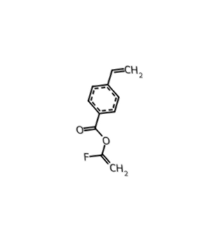 C=Cc1ccc(C(=O)OC(=C)F)cc1